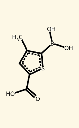 Cc1cc(C(=O)O)sc1B(O)O